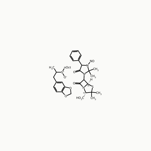 CC1(C)S[C@@H]2C(N3C(=O)C(c4ccccc4)N(N=O)C3(C)C)C(=O)N2[C@H]1C(=O)O.CCCCCCCC[S+]([O-])C(C)Cc1ccc2c(c1)OCO2